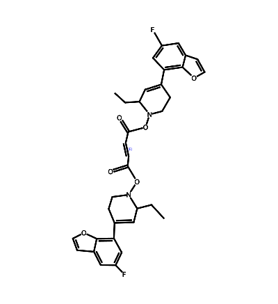 CCC1C=C(c2cc(F)cc3ccoc23)CCN1OC(=O)/C=C/C(=O)ON1CCC(c2cc(F)cc3ccoc23)=CC1CC